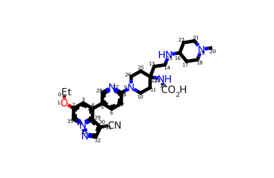 CCOc1cc(-c2ccc(N3CCC(CCNC4CCN(C)CC4)(NC(=O)O)CC3)nc2)c2c(C#N)cnn2c1